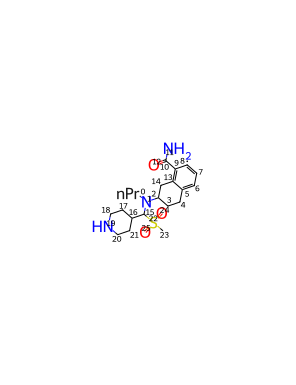 CCCN(C1CCc2cc[c]c(C(N)=O)c2C1)C(C1CCNCC1)S(C)(=O)=O